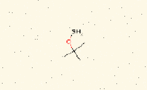 [CH2]C(C)(C)O[SiH3]